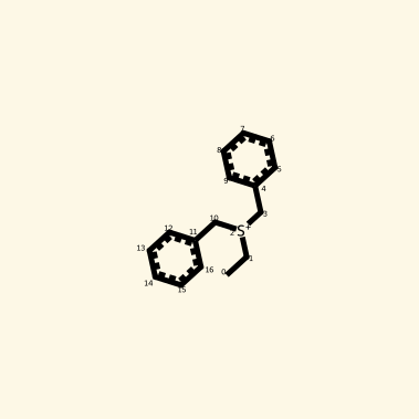 CC[S+](Cc1ccccc1)Cc1ccccc1